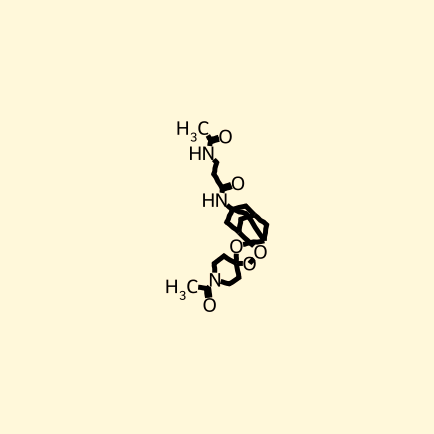 CC(=O)NCCC(=O)NC12CC3CC(C1)C1(OOC4(CCN(C(C)=O)CC4)O1)C(C3)C2